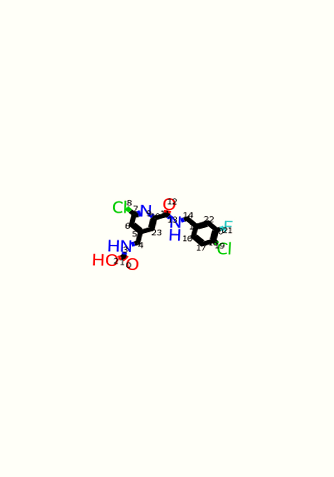 O=C(O)NCc1cc(Cl)nc(C(=O)NCc2ccc(Cl)c(F)c2)c1